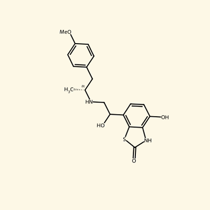 COc1ccc(C[C@@H](C)NCC(O)c2ccc(O)c3[nH]c(=O)sc23)cc1